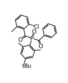 Cc1cccc(Cl)c1C(=O)P(=O)(C(=O)c1ccccc1)c1c(C)cc(C(C)(C)C)cc1C